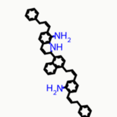 Nc1cc(/C=C\Cc2ccc(C3C=Cc4ccc(/C=C\Cc5ccccc5)c(N)c4N3)c3ccccc23)ccc1/C=C\Cc1ccccc1